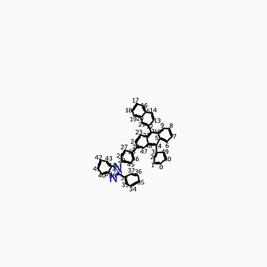 c1ccc(-c2c3ccccc3c(-c3ccc4ccccc4c3)c3ccc(-c4ccc(-n5c(-c6ccccc6)nc6ccccc65)cc4)cc23)cc1